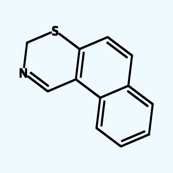 C1=NCSc2ccc3ccccc3c21